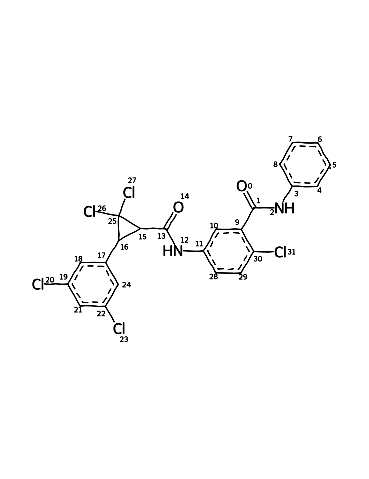 O=C(Nc1c[c]ccc1)c1cc(NC(=O)C2C(c3cc(Cl)cc(Cl)c3)C2(Cl)Cl)ccc1Cl